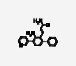 NC(=O)/C=C/c1c(-c2ccccc2)ccc(-c2cccnc2)c1N